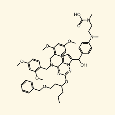 CCCC(CCOCc1ccccc1)Oc1nc(N(Cc2ccc(OC)cc2OC)Cc2ccc(OC)cc2OC)c2ncc(C(O)c3ccc(N(C)CCN(C)C(=O)O)cc3)n2n1